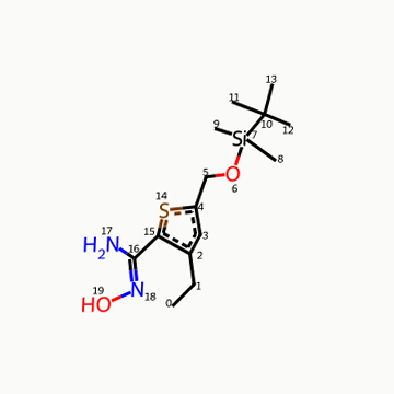 CCc1cc(CO[Si](C)(C)C(C)(C)C)sc1C(N)=NO